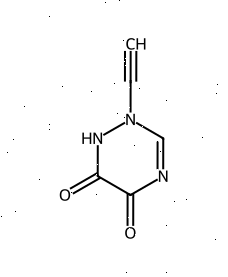 C#Cn1cnc(=O)c(=O)[nH]1